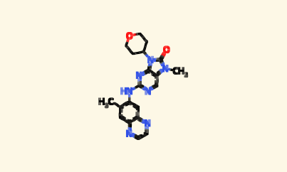 Cc1cc2nccnc2cc1Nc1ncc2c(n1)n(C1CCOCC1)c(=O)n2C